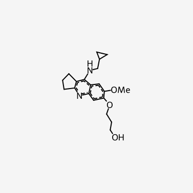 COc1cc2c(NCC3CC3)c3c(nc2cc1OCCCO)CCC3